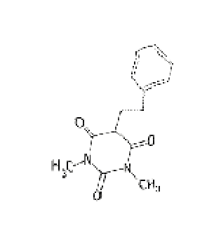 CN1C(=O)C(CCc2ccccc2)C(=O)N(C)C1=O